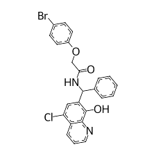 O=C(COc1ccc(Br)cc1)NC(c1ccccc1)c1cc(Cl)c2cccnc2c1O